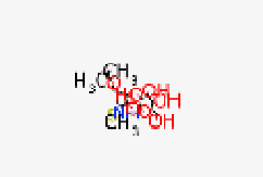 CSNc1cc(COC(C)C)ccc1OC1OC(CO)C(O)C(O)C1O